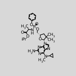 CC(C)OC(=O)[C@@H](C)NP(=O)(OC[C@@H]1CC(C)(C)[C@H](n2cnc3c(N(C)C4CC4)nc(N)nc32)O1)Oc1ccccc1